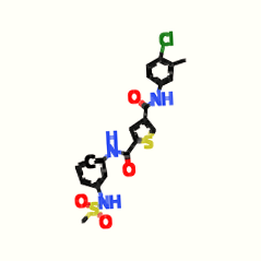 Cc1cc(NC(=O)c2csc(C(=O)Nc3cccc(NS(C)(=O)=O)c3)c2)ccc1Cl